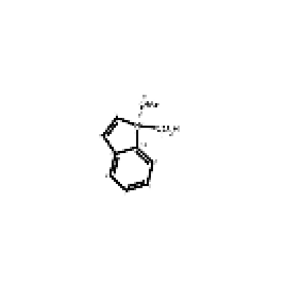 CO[N@@+]1(C(=O)O)C=Cc2ccccc21